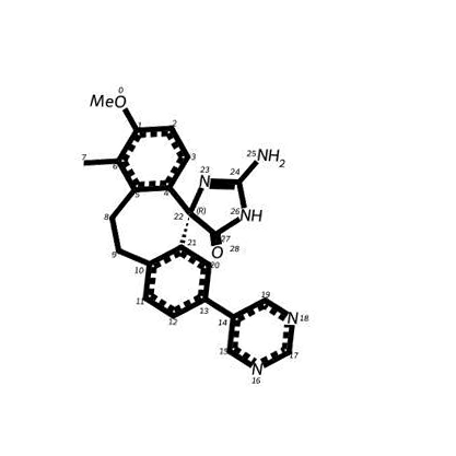 COc1ccc2c(c1C)CCc1ccc(-c3cncnc3)cc1[C@@]21N=C(N)NC1=O